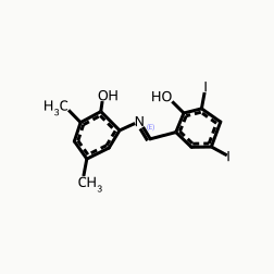 Cc1cc(C)c(O)c(/N=C/c2cc(I)cc(I)c2O)c1